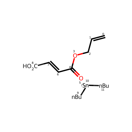 C=CCOC(=O)C=CC(=O)O.CCC[CH2][Sn][CH2]CCC